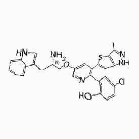 Cc1n[nH]c2cc(-c3cc(OC[C@@H](N)Cc4c[nH]c5ccccc45)cnc3-c3cc(Cl)ccc3O)sc12